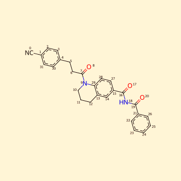 N#Cc1ccc(CCC(=O)N2CCCc3cc(C(=O)NC(=O)c4ccccc4)ccc32)cc1